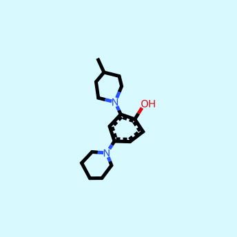 CC1CCN(c2cc(N3CCCCC3)ccc2O)CC1